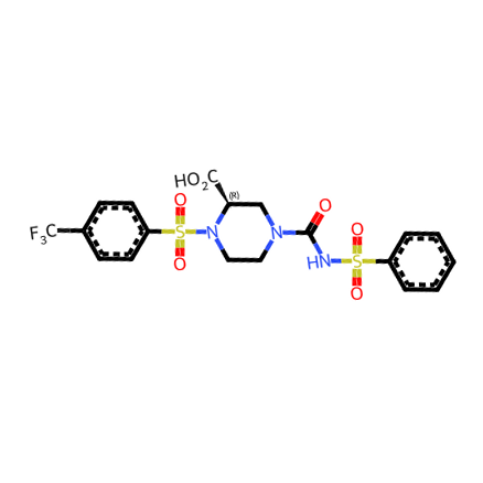 O=C(O)[C@H]1CN(C(=O)NS(=O)(=O)c2ccccc2)CCN1S(=O)(=O)c1ccc(C(F)(F)F)cc1